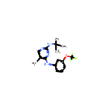 Cc1cnc(NC(C)(C)C)nc1Nc1cccc(OC(F)(F)F)c1